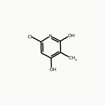 Cc1c(O)cc(Cl)nc1O